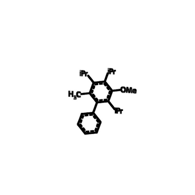 COc1c(C(C)C)c(-c2ccccc2)c(C)c(C(C)C)c1C(C)C